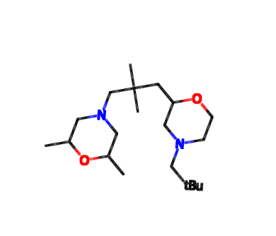 CC1CN(CC(C)(C)CC2CN(CC(C)(C)C)CCO2)CC(C)O1